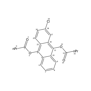 CCCC(=O)Oc1c2ccccc2c(OC(=O)CCC)c2cc(Cl)ccc12